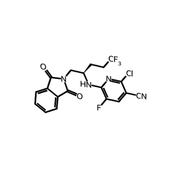 N#Cc1cc(F)c(N[C@H](CCC(F)(F)F)CN2C(=O)c3ccccc3C2=O)nc1Cl